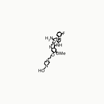 COc1cc2c(NC3=C[N+](CC(N)=O)(c4cccc(F)c4)N=C3)ncnc2cc1OCCCN1CCN(CCO)CC1